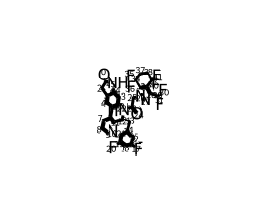 O=C1Cc2cc(-c3cccnc3[C@H](Cc3cc(F)cc(F)c3)NC(=O)Cn3nc(C(F)F)c4c3C(F)(F)CCC4(F)F)ccc2N1